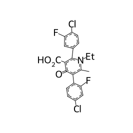 CCn1c(C)c(-c2ccc(Cl)cc2F)c(=O)c(C(=O)O)c1-c1ccc(Cl)c(F)c1